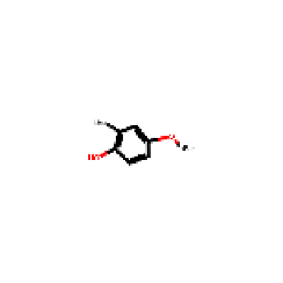 CCC[CH]Oc1ccc(O)c(C(C)(C)C)c1